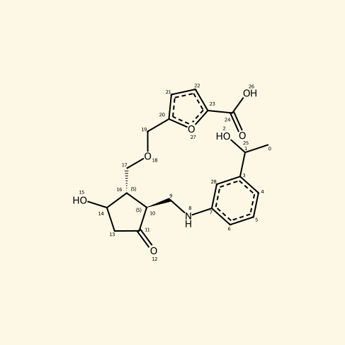 CC(O)c1cccc(NC[C@H]2C(=O)CC(O)[C@@H]2COCc2ccc(C(=O)O)o2)c1